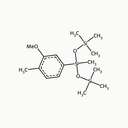 COc1cc([Si](C)(O[Si](C)(C)C)O[Si](C)(C)C)ccc1C